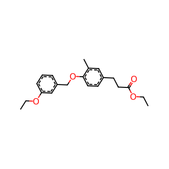 CCOC(=O)CCc1ccc(OCc2cccc(OCC)c2)c(C)c1